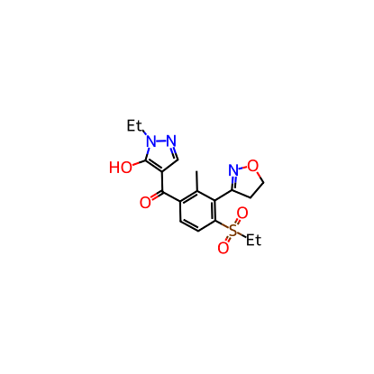 CCn1ncc(C(=O)c2ccc(S(=O)(=O)CC)c(C3=NOCC3)c2C)c1O